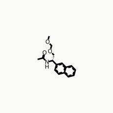 COCOC[C@@H](NC(C)=O)c1ccc2ccccc2c1